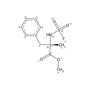 COC(=O)[C@](C)(Cc1ccccc1)NS(=O)(=O)F